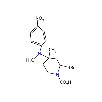 CN(c1ccc([N+](=O)[O-])cc1)C1(C)CCN(C(=O)O)C(C(C)(C)C)C1